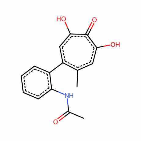 CC(=O)Nc1ccccc1-c1cc(O)c(=O)c(O)cc1C